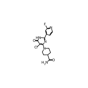 NC(=O)C1CCN(c2nc(-c3ccnc(F)c3)[nH]c(=O)c2Cl)CC1